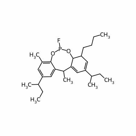 CCCCC1C=C(C(C)CC)C=C2C(C)c3cc(C(C)CC)cc(C)c3OP(F)OC21